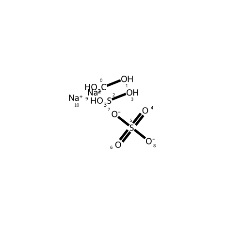 O=C(O)O.O=S(=O)(O)O.O=S(=O)([O-])[O-].[Na+].[Na+]